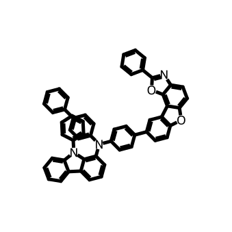 c1ccc(-c2ccc(N(c3ccc(-c4ccc5oc6ccc7nc(-c8ccccc8)oc7c6c5c4)cc3)c3cccc4c5ccccc5n(-c5ccccc5)c34)cc2)cc1